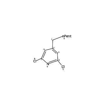 CCCCCCc1cc(Cl)nc(Cl)c1